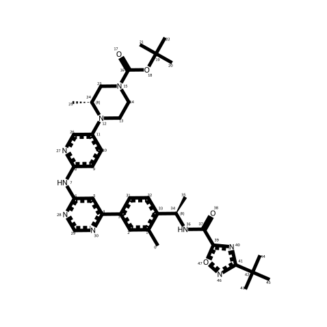 Cc1cc(-c2cc(Nc3ccc(N4CCN(C(=O)OC(C)(C)C)C[C@H]4C)cn3)ncn2)ccc1[C@@H](C)NC(=O)c1nc(C(C)(C)C)no1